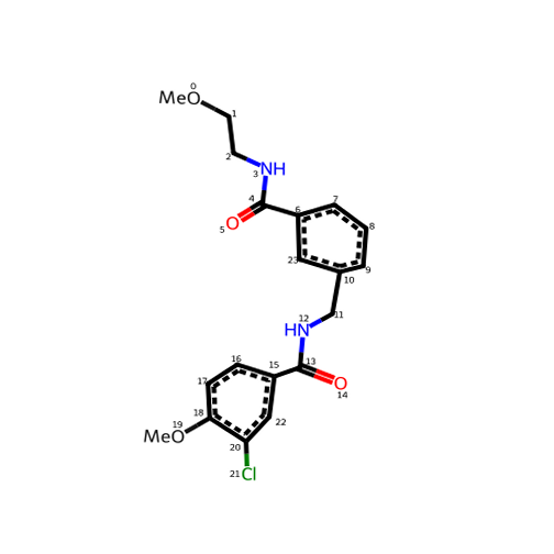 COCCNC(=O)c1cccc(CNC(=O)c2ccc(OC)c(Cl)c2)c1